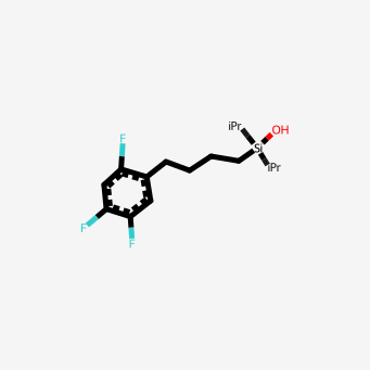 CC(C)[Si](O)(CCCCc1cc(F)c(F)cc1F)C(C)C